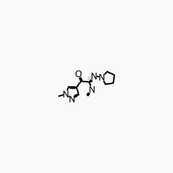 C=N/C(=N\N1CCCC1)C(=O)c1cnn(C)c1